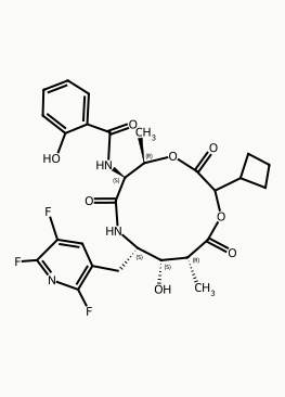 C[C@H]1OC(=O)C(C2CCC2)OC(=O)[C@H](C)[C@H](O)[C@H](Cc2cc(F)c(F)nc2F)NC(=O)[C@H]1NC(=O)c1ccccc1O